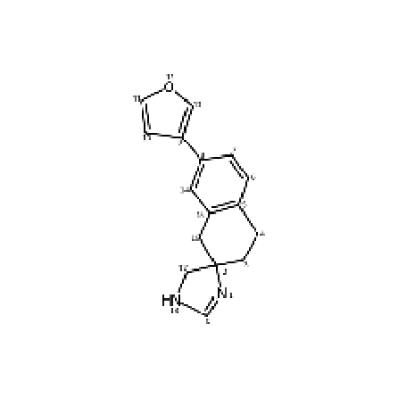 C1=NC2(CCc3ccc(-c4ccoc4)cc3C2)CN1